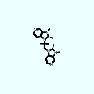 C[C@@H]1N(C)c2cnccc2N1C(C)(C)CN1c2ccncc2N(C)[C@@H]1C